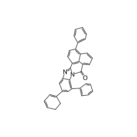 O=c1c2cccc3c(-c4ccccc4)ccc(c32)c2nc3cc(C4=CC=CCC4)cc(-c4ccccc4)c3n12